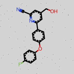 N#Cc1cc(CO)cc(-c2ccc(Oc3ccc(F)cc3)cc2)n1